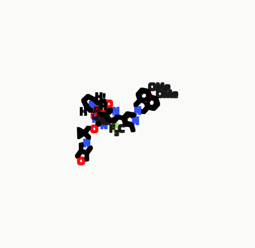 COc1ccc(CN(Cc2ccc(OC)cc2)c2cc(-c3nc4c5c(nc(OCC6(CN7CC8COCC8C7)CC6)nc5c3F)N3C[C@H]5CC[C@@H]([C@H]3[C@H](C)O4)N5C(=O)OC(C)(C)C)c(C(F)(F)F)c(C)n2)cc1